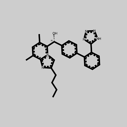 CCCCc1cn2c([C@H](O)c3ccc(-c4ccccc4-c4nnn[nH]4)cc3)c(C)cc(C)c2n1